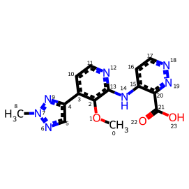 COc1c(-c2cnn(C)n2)ccnc1Nc1ccnnc1C(=O)O